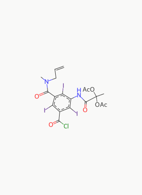 C=CCN(C)C(=O)c1c(I)c(NC(=O)C(C)(OC(C)=O)OC(C)=O)c(I)c(C(=O)Cl)c1I